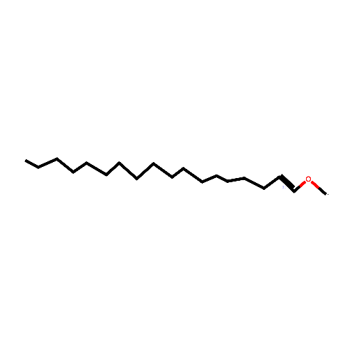 [CH2]O/C=C/CCCCCCCCCCCCCCCC